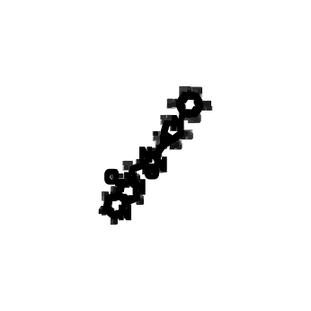 O=c1c2cccnc2cnn1Cc1nc(C2C3CN(c4ccccc4)CC32)no1